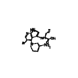 NC1CCCN(c2c(Br)cnc3[nH]cc(N[C@@H](CF)C(=O)O)c23)C1